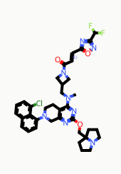 CN(CC1CN(C(=O)/C=C/c2nc(C(F)F)no2)C1)c1nc(OCC23CCCN2CCC3)nc2c1CCN(c1cccc3cccc(Cl)c13)C2